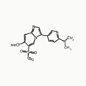 COc1cc2ncc(-c3ccc(N(C)C)nc3)n2cc1S(=O)(=O)C(C)(C)C